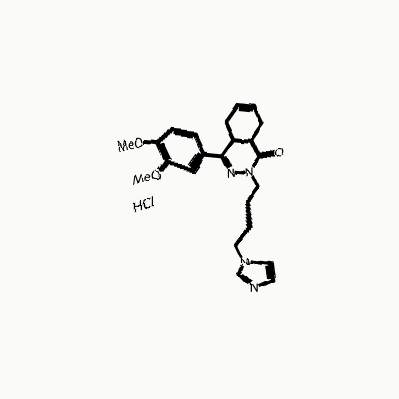 COc1ccc(C2=NN(CCCCn3ccnc3)C(=O)C3CC=CCC23)cc1OC.Cl